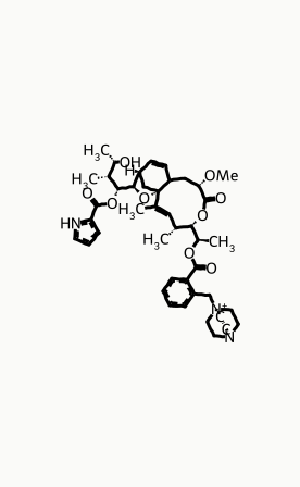 CO[C@H]1CC2C=C[C@@H]3C[C@]2(O[C@H]3[C@H](OC(=O)c2ccc[nH]2)[C@H](C)[C@H](C)O)/C(C)=C/[C@@H](C)[C@@H]([C@@H](C)OC(=O)c2ccccc2C[N+]23CCN(CC2)CC3)OC1=O